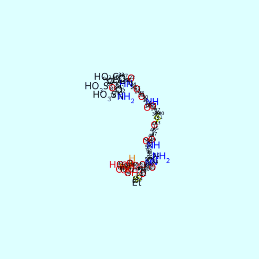 C=c1ccc2c(c1S(=O)(=O)O)Oc1c(ccc(N)c1S(=O)(=O)O)C=2c1cc(C(=O)NCCOCCOCCNC(=O)OCCC(C)(C)SSCOCCCCOC(=O)NCC#Cc2cn([C@H]3C[C@H](OCSSCC)[C@@H](CO[PH](=O)OP(=O)(O)OP(=O)(O)O)O3)c(=O)nc2N)ccc1C(=O)O